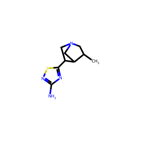 CC1CN2CC(c3nc(N)ns3)C1C2